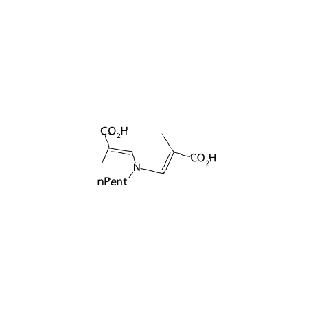 CCCCCN(C=C(C)C(=O)O)C=C(C)C(=O)O